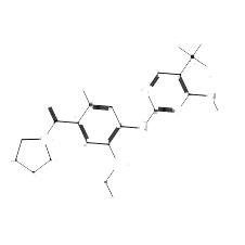 CNc1nc(Nc2cc(C)c(C(=O)N3CCCC3)cc2OCF)ncc1C(F)(F)F